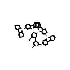 Cc1cc(-c2cc(-n3c4ccccc4c4ccc(-n5c6ccccc6c6ccccc65)cc43)c(-n3c4ccccc4c4ccc(-n5c6ccccc6c6ccccc65)cc43)cc2C#N)cc(C)n1